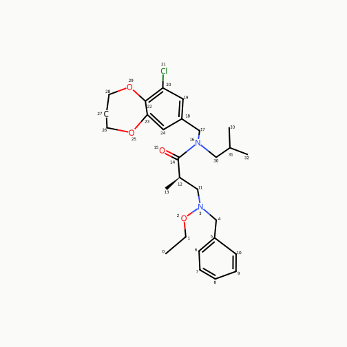 CCON(Cc1ccccc1)C[C@@H](C)C(=O)N(Cc1cc(Cl)c2c(c1)OCCCO2)CC(C)C